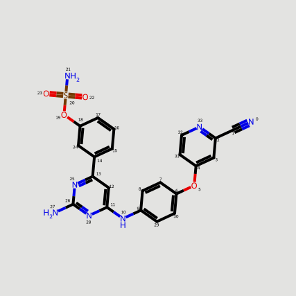 N#Cc1cc(Oc2ccc(Nc3cc(-c4cccc(OS(N)(=O)=O)c4)nc(N)n3)cc2)ccn1